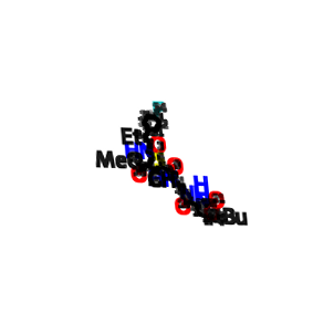 CCC(C(=O)Nc1sc(C(=O)NCCNC(=O)C(CC(C)C)NC(=O)OC(C)(C)C)c(C)c1C(=O)OC)c1ccc(F)cc1